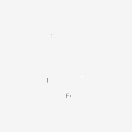 CCC(F)(F)C1CCOC1